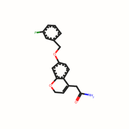 NC(=O)CC1=CCOc2cc(OCc3cccc(F)c3)ccc21